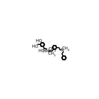 CN(CCc1ccccc1)CCc1cccc(CC(C)(C)NC[C@H](O)c2ccc(O)c(CO)c2)c1